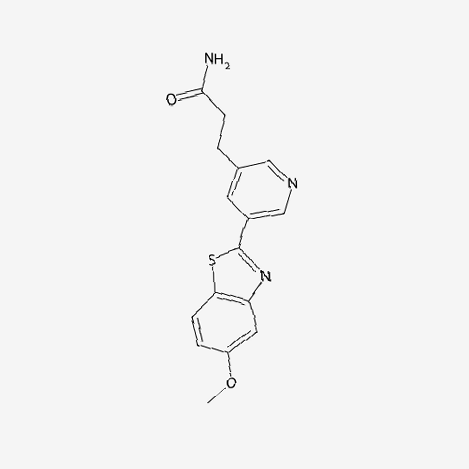 COc1ccc2sc(-c3cncc(CCC(N)=O)c3)nc2c1